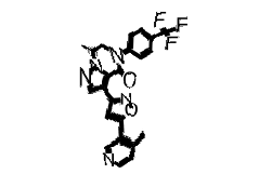 Cc1ccncc1-c1cc(-c2cnn3c2C(=O)N(c2ccc(C(F)(F)F)cc2)C[C@@H]3C)no1